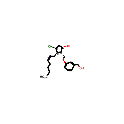 O=C(O)CCC/C=C\C[C@@H]1[C@@H](COc2cccc(CO)c2)[C@H](O)C[C@@H]1Cl